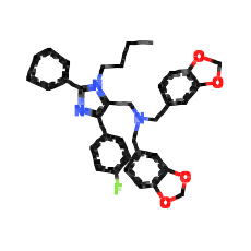 CCCCn1c(-c2ccccc2)nc(-c2ccc(F)cc2)c1CN(Cc1ccc2c(c1)OCO2)Cc1ccc2c(c1)OCO2